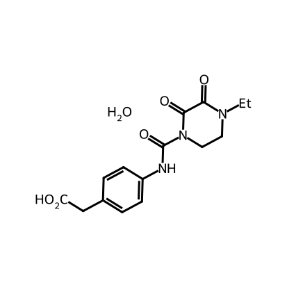 CCN1CCN(C(=O)Nc2ccc(CC(=O)O)cc2)C(=O)C1=O.O